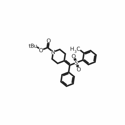 Cc1ccccc1S(=O)(=O)C(=C1CCN(C(=O)OC(C)(C)C)CC1)c1ccccc1